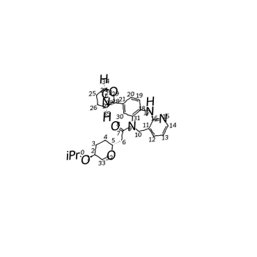 CC(C)O[C@H]1CC[C@H](CC(=O)N2Cc3cccnc3Nc3ccc(N4C[C@H]5CC[C@@H]4CO5)cc32)OC1